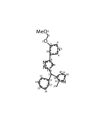 COCOc1cncc(-c2cn(C(c3ccccc3)c3scnc3C)nn2)c1